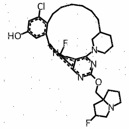 Oc1cc(Cl)c2c(c1)-c1ncc3c(nc(OCC45CCCN4CC(F)C5)nc3c1F)N1CCCC(CCCCCC2)C1